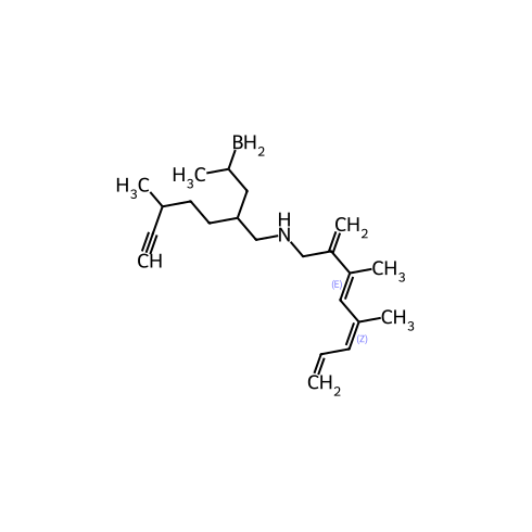 BC(C)CC(CCC(C)C#C)CNCC(=C)/C(C)=C/C(C)=C\C=C